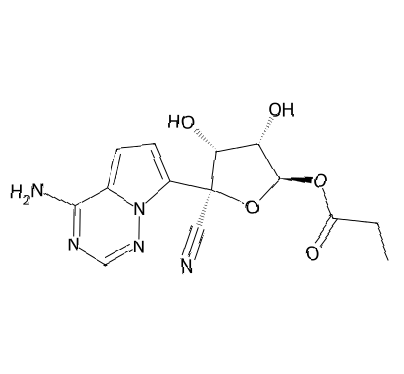 CCC(=O)O[C@H]1O[C@@](C#N)(c2ccc3c(N)ncnn23)[C@H](O)[C@@H]1O